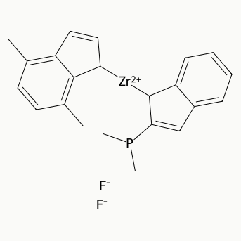 Cc1ccc(C)c2c1C=C[CH]2[Zr+2][CH]1C(P(C)C)=Cc2ccccc21.[F-].[F-]